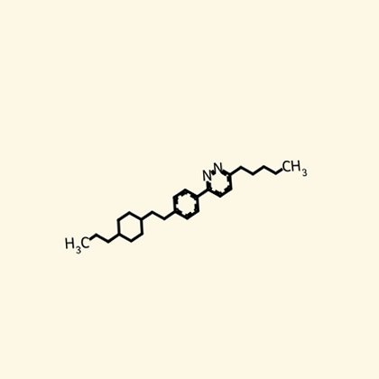 CCCCCc1ccc(-c2ccc(CCC3CCC(CCC)CC3)cc2)nn1